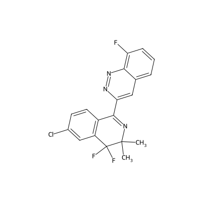 CC1(C)N=C(c2cc3cccc(F)c3nn2)c2ccc(Cl)cc2C1(F)F